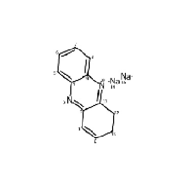 C1=Cc2nc3ccccc3nc2CC1.[Na].[Na]